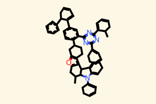 CC1CC=CC=C1c1nc(C2=CC=CCC2)nc(-c2cc(C3=CC=CCC3c3ccccc3)ccc2C2CCc3c(oc4c3C3C5=CCCC=C5N(C5=CC=CCC5)C3C(C)C4)C2)n1